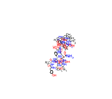 CSCC[C@H](NC(=O)[C@H](Cc1ccccc1)NC(=O)CNC(=O)[C@@H](C)NC(=O)[C@@H](N)Cc1ccc(O)cc1)C(=O)N[C@H](C(=O)N[C@@H](CO)C(=O)N[C@@H](CCC(N)=O)C(=O)N[C@@H](CCCCN)C(=O)N[C@@H](CO)C(=O)N[C@@H](CCC(N)=O)C(=O)N[C@H](C(=O)N1CCC[C@H]1C(=O)N[C@@H](CC(C)C)C(=O)N[C@H](C(=O)N[C@H](C(=O)N[C@@H](CC(C)C)C(=O)O)[C@@H](C)O)C(C)C)[C@@H](C)O)[C@@H](C)O